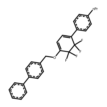 CCCc1ccc(C2=CC=C(OCc3ccc(-c4ccccc4)cc3)C(F)(F)C2(F)F)cc1